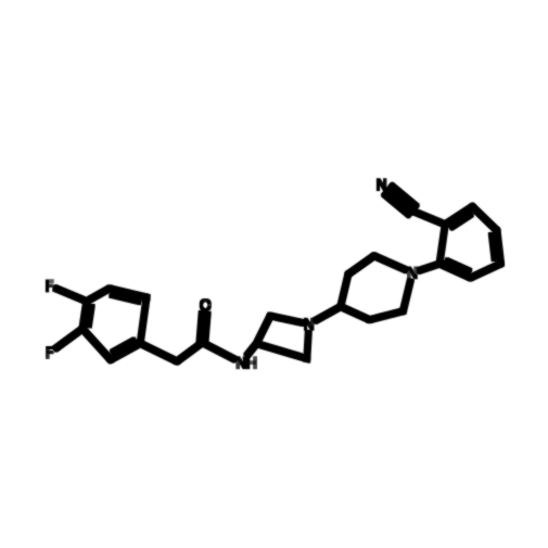 N#Cc1ccccc1N1CCC(N2CC(NC(=O)Cc3ccc(F)c(F)c3)C2)CC1